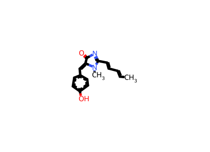 CC=CC=CC1=NC(=O)C(=Cc2ccc(O)cc2)N1C